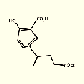 CCCCCCCCCCC(C)c1ccc(O)c(C(=O)O)c1